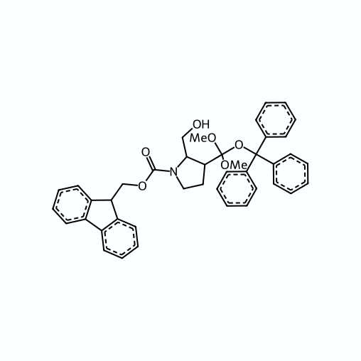 COC(OC)(OC(c1ccccc1)(c1ccccc1)c1ccccc1)C1CCN(C(=O)OCC2c3ccccc3-c3ccccc32)C1CO